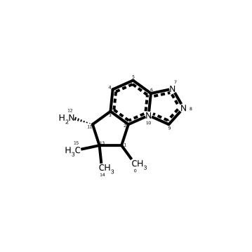 CC1c2c(ccc3nncn23)[C@@H](N)C1(C)C